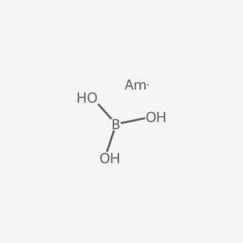 OB(O)O.[Am]